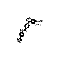 COc1cc2ncnc(N3CCN(C(=S)Nc4ccc(-c5csnn5)cc4)CC3)c2cc1OC